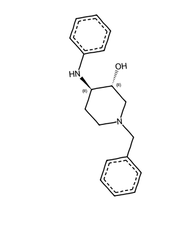 O[C@@H]1CN(Cc2ccccc2)CC[C@H]1Nc1ccccc1